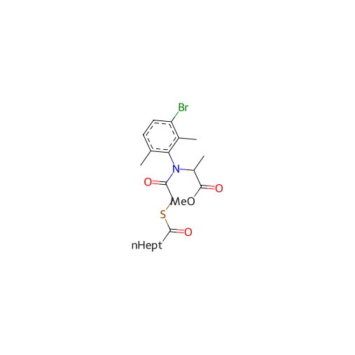 CCCCCCCC(=O)SCC(=O)N(c1c(C)ccc(Br)c1C)C(C)C(=O)OC